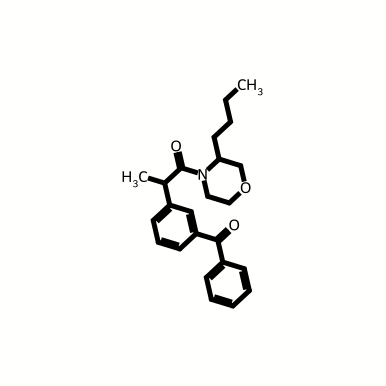 CCCCC1COCCN1C(=O)C(C)c1cccc(C(=O)c2ccccc2)c1